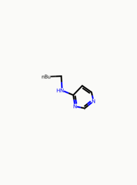 CCCCCNc1ccn[c]n1